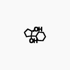 O[C]1CCCC1(O)C1CCCCC1